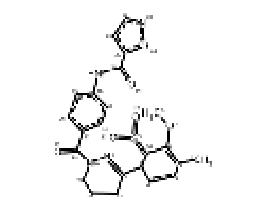 COC1=C(C)C=CC(C2=NN(C(=O)c3ccc(NC(=O)c4ccno4)cc3)CCC2)C1=S(=O)=O